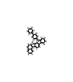 C1=C2c3c(ccc4ccccc34)SC2C2C(=C1)c1ccccc1N2c1ccc(-c2ccccc2)cc1